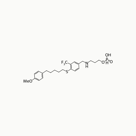 COc1ccc(CCCCCSc2ccc(CNCCCO[PH](=O)O)cc2C(F)(F)F)cc1